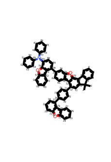 CC1(C)c2ccccc2-c2c1cc(-c1ccc(-c3cccc4oc5ccccc5c34)cc1)c1c2oc2cc(-c3ccc(N(c4ccccc4)c4ccccc4)c4oc5ccccc5c34)ccc21